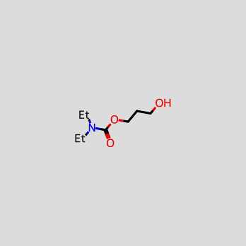 CCN(CC)C(=O)OCCCO